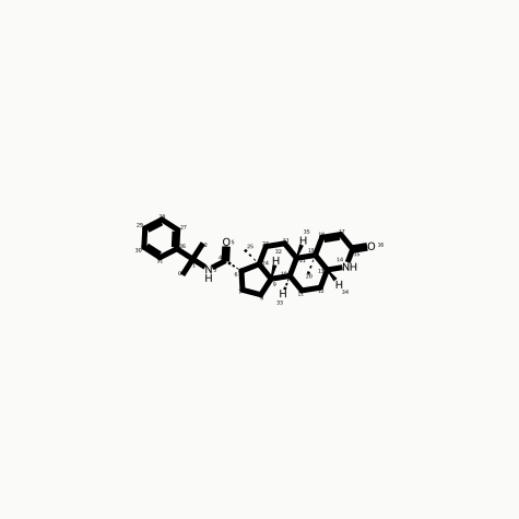 CC(C)(NC(=O)[C@H]1CC[C@H]2[C@@H]3CC[C@H]4NC(=O)C=C[C@]4(C)[C@H]3CC[C@]12C)c1ccccc1